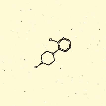 CCN1CCN(c2ccccc2Cl)CC1